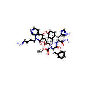 CC(C)(C)OC(=O)N([C@@H](Cc1ccccc1)C(=O)N[C@@H](Cc1c[nH]cn1)C(N)=O)[C@@H](CC1CCCCC1)[C@@H](O)CC(C(=O)NCCCCN)C(O)c1ccncc1